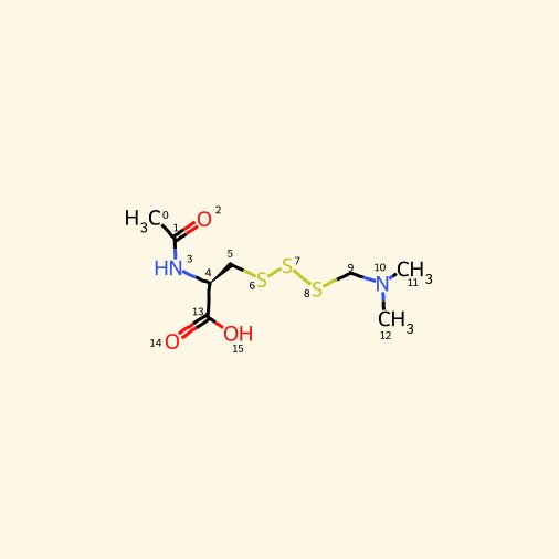 CC(=O)N[C@@H](CSSSCN(C)C)C(=O)O